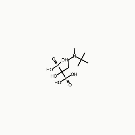 CN(CCC(O)(P(=O)(O)O)P(=O)(O)O)C(C)(C)C